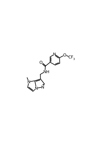 Cn1ccn2ncc(CNC(=O)c3ccc(OC(F)(F)F)nc3)c12